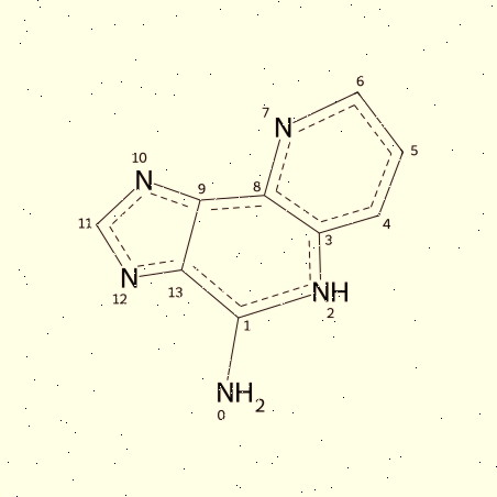 Nc1[nH]c2cccnc2c2ncnc1-2